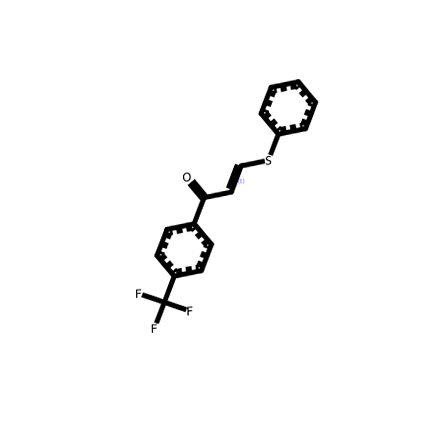 O=C(/C=C/Sc1ccccc1)c1ccc(C(F)(F)F)cc1